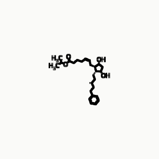 CC(C)OC(=O)CCC/C=C\C[C@@H]1[C@@H](CC[CH]CCc2ccccc2)[C@H](O)C[C@@H]1O